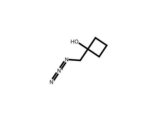 [N-]=[N+]=NCC1(O)CCC1